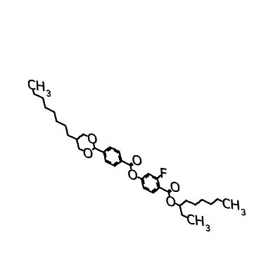 CCCCCCCCC1COC(c2ccc(C(=O)Oc3ccc(C(=O)OC(CC)CCCCCC)c(F)c3)cc2)OC1